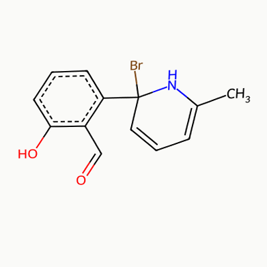 CC1=CC=CC(Br)(c2cccc(O)c2C=O)N1